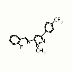 Cn1nc(-c2ccc(C(F)(F)F)cc2)cc1N=Cc1ccccc1F